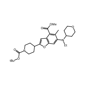 CCN(c1cc2oc(C3CCN(C(=O)OC(C)(C)C)CC3)cc2c(C(=O)OC)c1C)C1CCOCC1